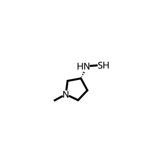 CN1CC[C@@H](NS)C1